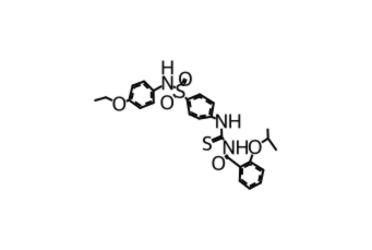 CCOc1ccc(NS(=O)(=O)c2ccc(NC(=S)NC(=O)c3ccccc3OC(C)C)cc2)cc1